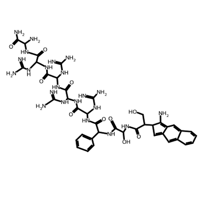 N=C(N)NC(NC(=O)C(NC(=N)N)NC(=O)C(NC(=N)N)NC(=O)C(NC(=N)N)NC(=O)C(NC(=O)C(O)NC(=O)C(CO)C1C=c2cc3ccccc3cc2=C1N)c1ccccc1)C(=O)NC(N)C(N)=O